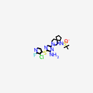 CC(C)(C)[S+]([O-])N[C@@H]1CCCC12CCN(c1cnc(Sc3ccnc(F)c3Cl)c(N)n1)CC2